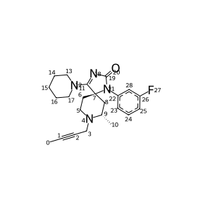 CC#CCN1CC[C@@]2(C[C@@H]1C)C(N1CCCCC1)=NC(=O)N2c1cccc(F)c1